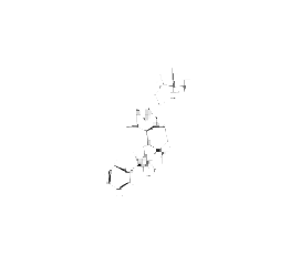 Cc1nn(CCC(C)C(F)(F)F)c2c1[C@H](OC(=O)c1ccccc1)C(F)(F)CC2